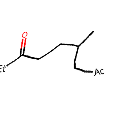 CCC(=O)CCC(C)CC(C)=O